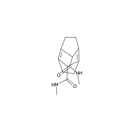 CNC(=O)C1C2=C3CCC(=C1CC2)C3C(=O)NC